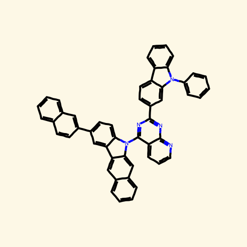 c1ccc(-n2c3ccccc3c3ccc(-c4nc(-n5c6ccc(-c7ccc8ccccc8c7)cc6c6cc7ccccc7cc65)c5cccnc5n4)cc32)cc1